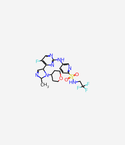 CC1N=CC(c2nc(Nc3ccc(S(=O)(=O)NCC(F)(F)F)nc3)ncc2F)N1C1CCOCC1